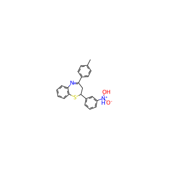 Cc1ccc(C2=Nc3ccccc3SC(c3cccc([NH+]([O-])O)c3)C2)cc1